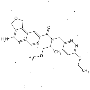 CCOc1ccc(CN(C(=O)c2cc3c4c(c(N)nc3cn2)COC4)[C@H](C)COC)nn1